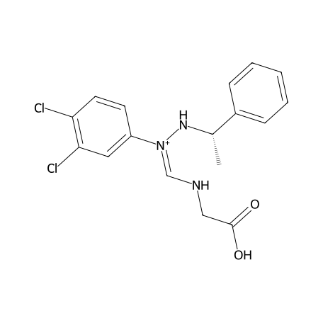 C[C@H](N[N+](=CNCC(=O)O)c1ccc(Cl)c(Cl)c1)c1ccccc1